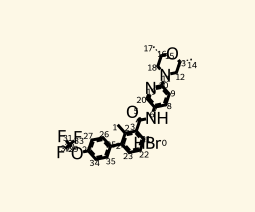 Br.Cc1c(C(=O)Nc2ccc(N3C[C@@H](C)O[C@@H](C)C3)nc2)cccc1-c1ccc(OC(F)(F)F)cc1